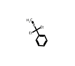 C=BC(CC)(CC)c1ccccc1